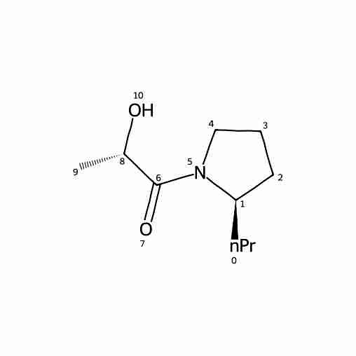 CCC[C@@H]1CCCN1C(=O)[C@H](C)O